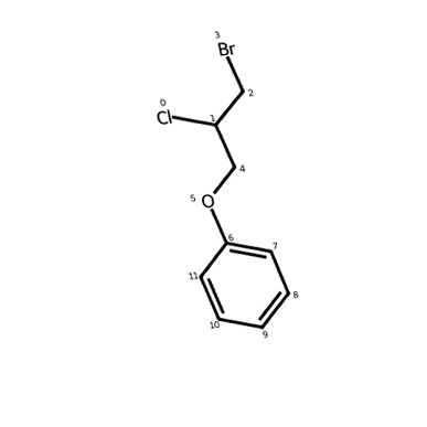 ClC(CBr)COc1ccccc1